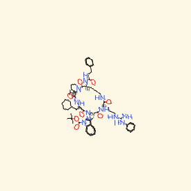 CC(C)(C)OC(=O)n1cc(C[C@@H]2NC(=O)[C@@H](CC3CCCCC3)NC(=O)[C@@H]3CCCN3C(=O)[C@@H](NC(=O)CCc3ccccc3)CCCNC(=O)[C@H](CCCNC(=N)Nc3ccccc3)NC2=O)c2ccccc21